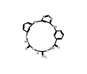 C=C1CNC(=O)c2cccc(c2)Nc2cc(ncn2)Nc2cccc(c2)CNC(=O)CN1